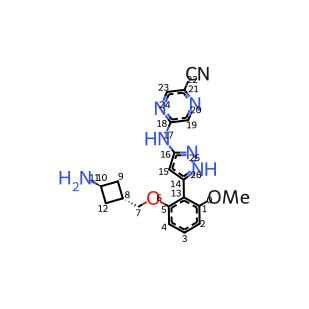 COc1cccc(OC[C@H]2C[C@H](N)C2)c1-c1cc(Nc2cnc(C#N)cn2)n[nH]1